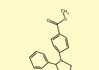 COC(=O)c1ccc(N2CCCC2c2ccccc2)cc1